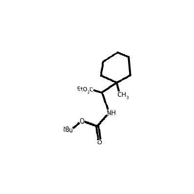 CCOC(=O)C(NC(=O)OC(C)(C)C)C1(C)CCCCC1